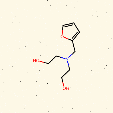 OCCN(CCO)Cc1ccco1